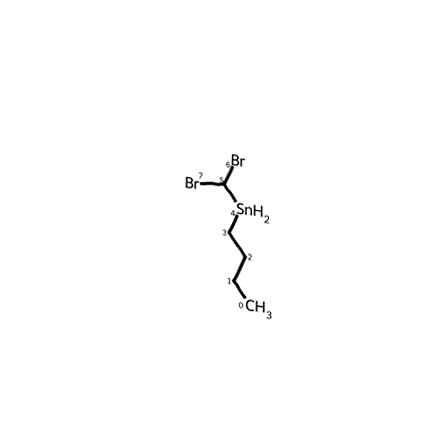 CCC[CH2][SnH2][CH](Br)Br